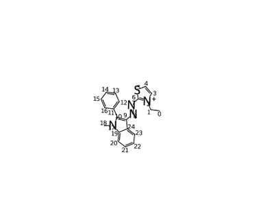 CC[n+]1ccsc1/N=N/c1c(-c2ccccc2)n(C)c2ccccc12